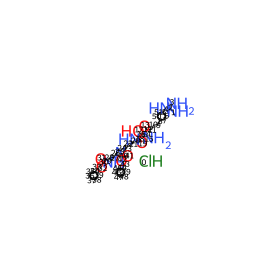 Cl.N=C(N)Nc1ccc(CCCC(=O)C(N)C(O)C(=O)NCCCCN(CCCNC(=O)OCc2ccccc2)C(=O)OCc2ccccc2)cc1